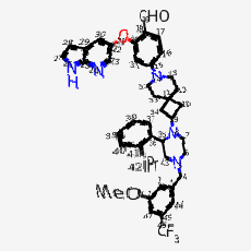 COc1cc(CN2CCN(C3CC4(CCN(c5ccc(C=O)c(Oc6cnc7[nH]ccc7c6)c5)CC4)C3)C(c3ccccc3C(C)C)C2)cc(C(F)(F)F)c1